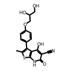 Cc1sc2[nH]c(=O)c(C#N)c(O)c2c1-c1ccc(OCC(O)CO)cc1